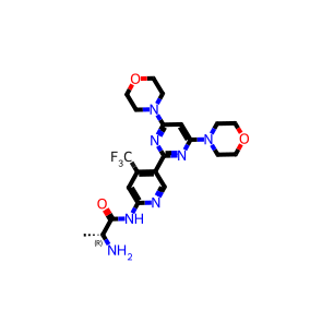 C[C@@H](N)C(=O)Nc1cc(C(F)(F)F)c(-c2nc(N3CCOCC3)cc(N3CCOCC3)n2)cn1